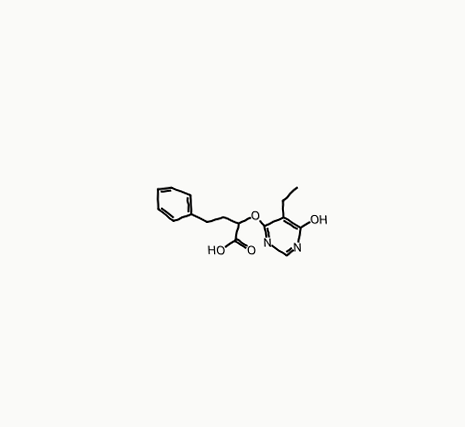 CCc1c(O)ncnc1OC(CCc1ccccc1)C(=O)O